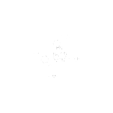 COCCOc1ccc(C)cc1-c1nc2nc(C(=O)O)nc(NCCC3CC3)c2n1Cc1ccc(Cl)cc1